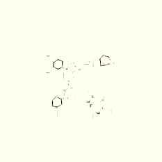 COc1ccc(C23CCC(NC(=O)Nc4ccc(F)c(F)c4)CC2N(C(=O)CNCc2ccncc2)CC3)cc1OC.O=C(O)C(F)(F)F.O=C(O)C(F)(F)F